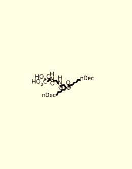 CCCCCCCCCCCCCCCC(=O)OC(CCCCCCCCCCCCCCC)CC(=O)NCCC(=O)N[C@@H](CC(=O)O)C(=O)O